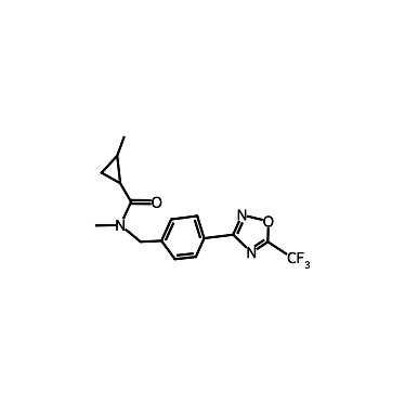 CC1CC1C(=O)N(C)Cc1ccc(-c2noc(C(F)(F)F)n2)cc1